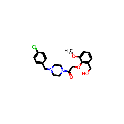 COc1cccc(CO)c1OCC(=O)N1CCN(Cc2ccc(Cl)cc2)CC1